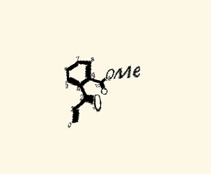 C=CC(=O)c1ccccc1C(=O)OC